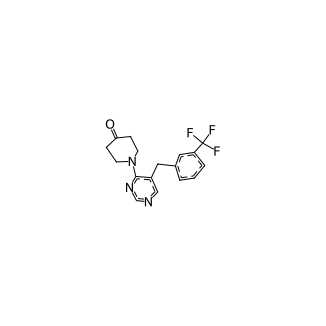 O=C1CCN(c2ncncc2Cc2cccc(C(F)(F)F)c2)CC1